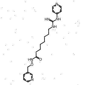 N=C(NCCCCCCCC(=O)NOCc1cccnc1)Nc1ccncc1